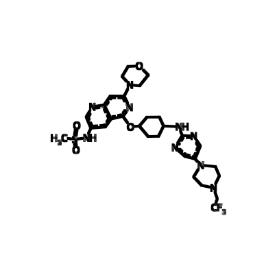 CS(=O)(=O)Nc1cnc2cc(N3CCOCC3)nc(OC3CCC(Nc4ncc(N5CCN(CC(F)(F)F)CC5)cn4)CC3)c2c1